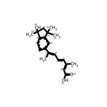 CC(C=CC=C(C)c1ccc2c(c1)C(C)(C)CC2(C)C)=CC(=O)O